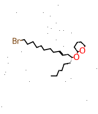 CCCCCC[C@H](CC=CCCCCCCCCBr)OC1CCCCO1